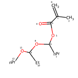 C=C(C)C(=O)OC(CCC)OC(CC)OCCC